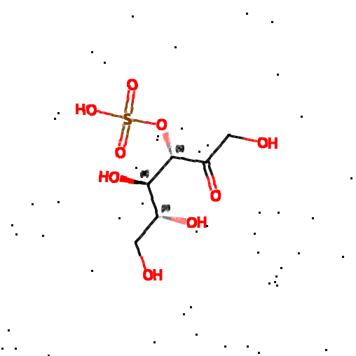 O=C(CO)[C@@H](OS(=O)(=O)O)[C@H](O)[C@H](O)CO